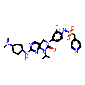 CC(C)N1C(=O)N(c2ccc(NS(=O)(=O)Cc3ccncc3)c(F)c2)Cc2cnc(NC3CCC(N(C)C)CC3)nc21